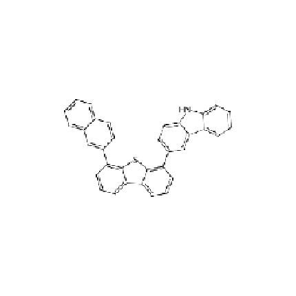 c1ccc2cc(-c3cccc4c3sc3c(-c5ccc6[nH]c7ccccc7c6c5)cccc34)ccc2c1